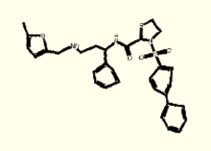 Cc1ccc(CNCCC(NC(=O)C2SCCN2S(=O)(=O)c2ccc(-c3ccccc3)cc2)c2ccccc2)o1